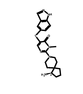 Cn1c(N2CCC3(CCC[C@H]3N)CC2)ncc(Sc2ccc3[nH]ncc3c2)c1=O